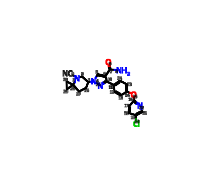 N#CN1CC(n2cc(C(N)=O)c(-c3ccc(Oc4ccc(Cl)cn4)cc3)n2)CCC12CC2